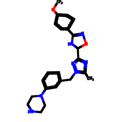 Cc1nc(C2NC(c3ccc(OC(F)(F)F)cc3)=NO2)nn1Cc1cccc(N2CCNCC2)c1